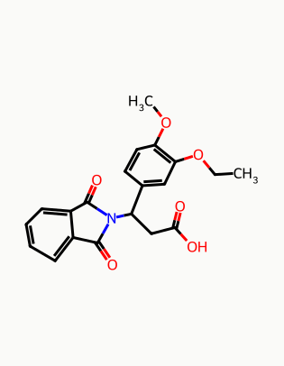 CCOc1cc(C(CC(=O)O)N2C(=O)c3ccccc3C2=O)ccc1OC